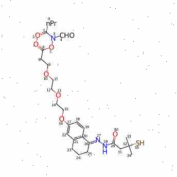 CCCC(=O)N(C=O)OC(=O)CCOCCOCCOc1ccc2c(c1)CCC/C2=N\NC(=O)CC(C)(C)S